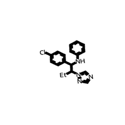 CCC(C(Nc1ccccc1)c1ccc(Cl)cc1)n1cncn1